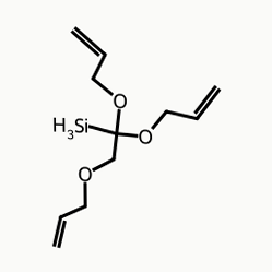 C=CCOCC([SiH3])(OCC=C)OCC=C